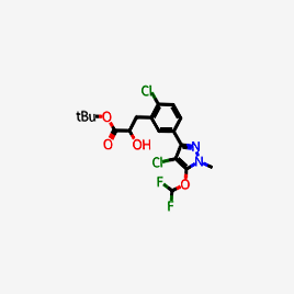 Cn1nc(-c2ccc(Cl)c(CC(O)C(=O)OC(C)(C)C)c2)c(Cl)c1OC(F)F